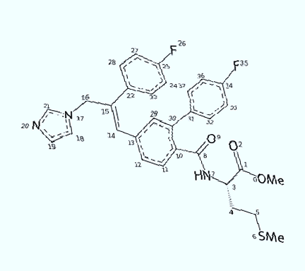 COC(=O)[C@H](CCSC)NC(=O)c1ccc(/C=C(/Cn2ccnc2)c2ccc(F)cc2)cc1-c1ccc(F)cc1